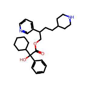 O=C(OCC(CCC1CCNCC1)c1cccnc1)C(O)(c1ccccc1)C1CCCCC1